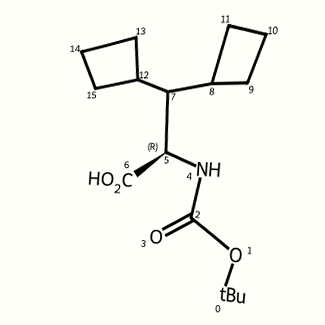 CC(C)(C)OC(=O)N[C@@H](C(=O)O)C(C1CCC1)C1CCC1